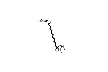 C=C(C)CCCCCCCCCCCOCCCCCCCCC